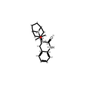 CC(C)(C)N1C2CCC1CC(N1Cc3ccccc3NC1=O)C2